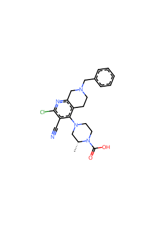 C[C@@H]1CN(c2c(C#N)c(Cl)nc3c2CCN(Cc2ccccc2)C3)CCN1C(=O)O